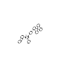 c1ccc(-c2nc(-c3ccc(-c4cccc5c4-c4ccccc4C54c5ccccc5-c5ccccc54)cc3)nc(-c3cccc4c3oc3ccccc34)n2)cc1